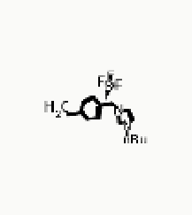 C=Cc1ccc(CN2C=CN(CCCC)C2)cc1.F[B-](F)(F)F